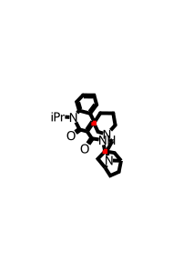 CC(C)n1c(=O)c(C(=O)NC2CC3CCC(C2)N3CCN2CCCCC2)cc2ccccc21